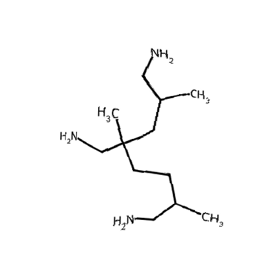 CC(CN)CCC(C)(CN)CC(C)CN